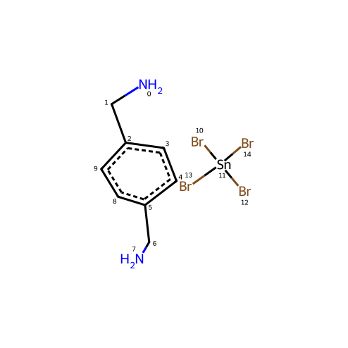 NCc1ccc(CN)cc1.[Br][Sn]([Br])([Br])[Br]